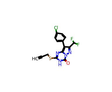 C#CCSc1nc2c(-c3ccc(Cl)cc3)c(C(F)F)nn2c(=O)[nH]1